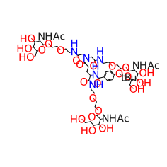 CC(=O)NC1C(OCCOCCNC(=O)CN(CC(=O)NCCOCCOC2OC(CO)C(O)C(O)C2NC(C)=O)C(=O)CCC(NC(=O)c2ccc(OC(C)(C)C)cc2)C(=O)NCCOCCOC2OC(CO)C(O)C(O)C2NC(C)=O)OC(CO)C(O)C1O